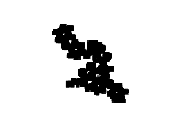 CCCN(Cc1ccc(Oc2ccccc2)cc1)C(=O)OC(=O)C1CCC1C(=O)OC(=O)N(CCC)Cc1ccc(Oc2ccccc2)cc1